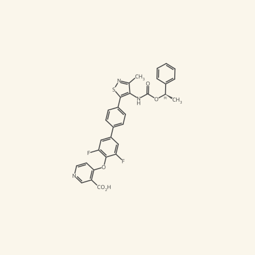 Cc1nsc(-c2ccc(-c3cc(F)c(Oc4ccncc4C(=O)O)c(F)c3)cc2)c1NC(=O)O[C@H](C)c1ccccc1